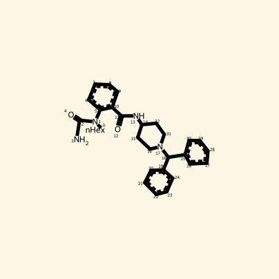 CCCCCCN(C(N)=O)c1ccccc1C(=O)NC1CCN(C(c2ccccc2)c2ccccc2)CC1